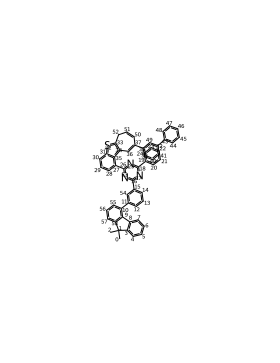 CC1(C)c2ccccc2-c2c(-c3cccc(-c4nc(-c5ccccc5)nc(-c5cccc6sc7c(c56)C=C(c5cccc(-c6ccccc6)c5)C=CC7)n4)c3)cccc21